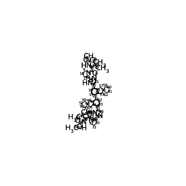 COC(=O)N[C@H](C(=O)N1CCC[C@H]1c1ncc(-c2ccc(-c3ccc(-c4cnc([C@@H]5CCCN5C(=O)[C@@H](NC(=O)OC)C(C)C)[nH]4)c4c3CC3(CCCC3)C4)c3c2CC2(CCCC2)C3)[nH]1)C(C)C